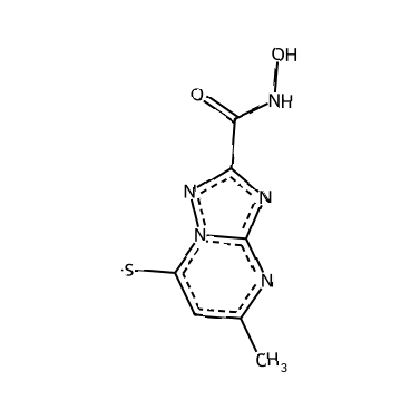 Cc1cc([S])n2nc(C(=O)NO)nc2n1